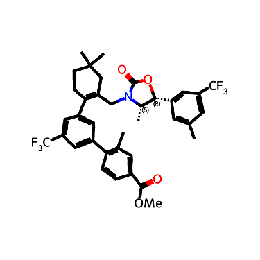 COC(=O)c1ccc(-c2cc(C3=C(CN4C(=O)O[C@H](c5cc(C)cc(C(F)(F)F)c5)[C@@H]4C)CC(C)(C)CC3)cc(C(F)(F)F)c2)c(C)c1